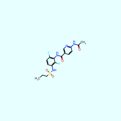 CCCS(=O)(=O)Nc1ccc(F)c(NC(=O)c2ccc(NC(C)=O)nc2)c1F